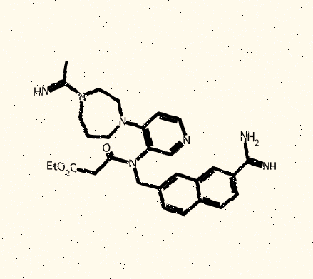 CCOC(=O)CC(=O)N(Cc1ccc2ccc(C(=N)N)cc2c1)c1cnccc1N1CCCN(C(C)=N)CC1